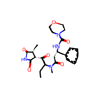 CCC(C(=O)[C@@H]1C(=O)NC(=O)[C@H]1C)N(C)C(=O)C[C@H](NC(=O)N1CCOCC1)c1ccccc1